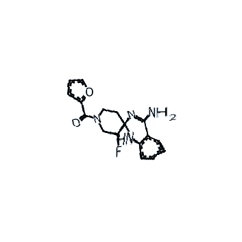 NC1=NC2(CCN(C(=O)c3ccco3)CC2F)Nc2ccccc21